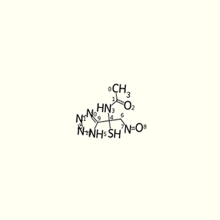 CC(=O)NC(S)(CN=O)c1nnn[nH]1